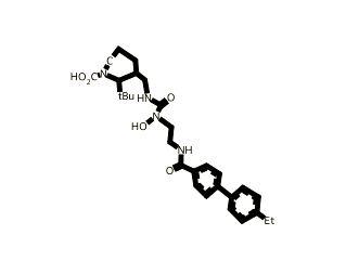 CCc1ccc(-c2ccc(C(=O)NCCN(O)C(=O)NCC3CCCN(C(=O)O)C3C(C)(C)C)cc2)cc1